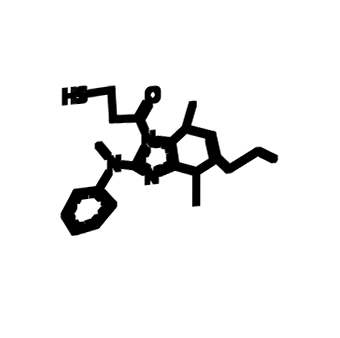 CCCC1=CC(C)c2c(nc(N(C)c3ccccc3)n2C(=O)CCS)C1C